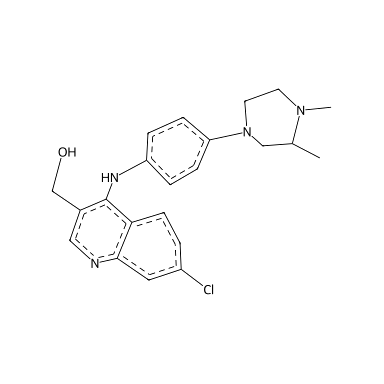 CC1CN(c2ccc(Nc3c(CO)cnc4cc(Cl)ccc34)cc2)CCN1C